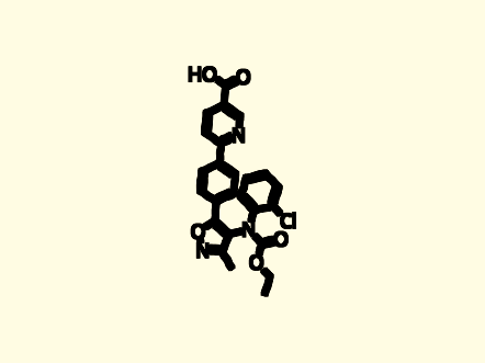 CCOC(=O)N(c1ccccc1Cl)c1c(C)noc1-c1ccc(-c2ccc(C(=O)O)cn2)cc1